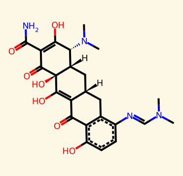 CN(C)/C=N/c1ccc(O)c2c1C[C@H]1C[C@H]3[C@@H](N(C)C)C(O)=C(C(N)=O)C(=O)[C@@]3(O)C(O)=C1C2=O